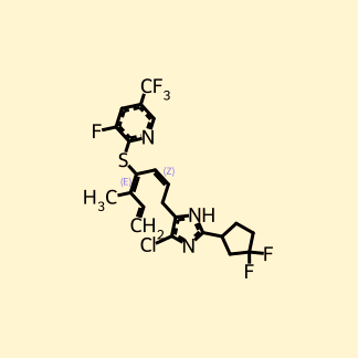 C=C/C(C)=C(\C=C/Cc1[nH]c(C2CCC(F)(F)C2)nc1Cl)Sc1ncc(C(F)(F)F)cc1F